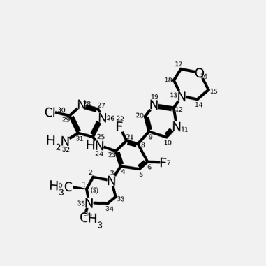 C[C@H]1CN(c2cc(F)c(-c3cnc(N4CCOCC4)nc3)c(F)c2Nc2ncnc(Cl)c2N)CCN1C